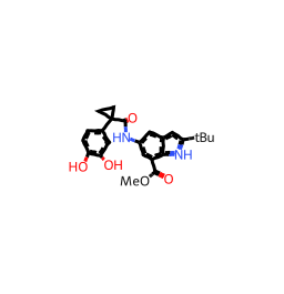 COC(=O)c1cc(NC(=O)C2(c3ccc(O)c(O)c3)CC2)cc2cc(C(C)(C)C)[nH]c12